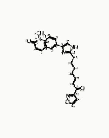 Cn1c(=O)ccc2cc(-c3c[nH]c(CCCCCCC(=O)c4ccon4)n3)ccc21